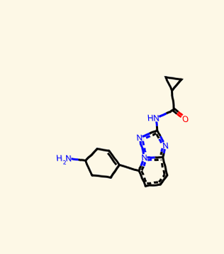 NC1CC=C(c2cccc3nc(NC(=O)C4CC4)nn23)CC1